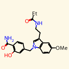 CCC(=O)NCCc1cn(Cc2ccc(C(N)=O)c(O)c2)c2ccc(OC)cc12